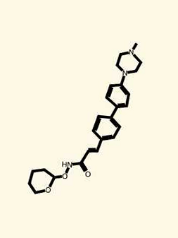 CN1CCN(c2ccc(-c3ccc(/C=C/C(=O)NOC4CCCCO4)cc3)cc2)CC1